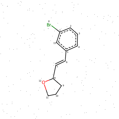 Brc1cccc(C=CC2CCCO2)c1